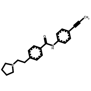 CC#Cc1ccc(NC(=O)c2ccc(CCN3CCCC3)cc2)cc1